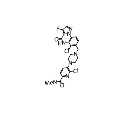 CNC(=O)c1ccc(N2CCN(Cc3ccc4c([nH]c(=O)c5c(F)cnn54)c3Cl)CC2)c(Cl)n1